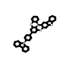 O=P12c3ccccc3Oc3cc(-c4ccc(-n5c6ccccc6c6ccccc65)cc4)cc(c31)Oc1cc3oc4ccccc4c3cc12